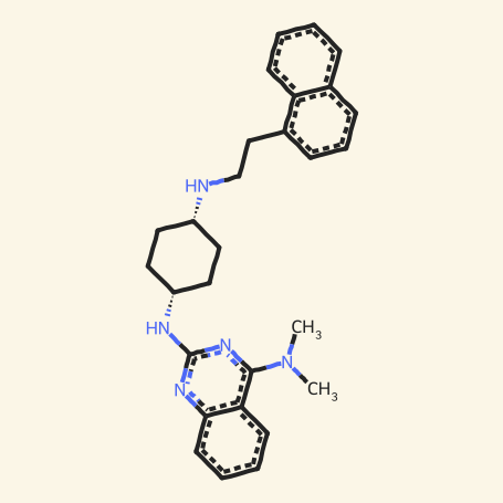 CN(C)c1nc(N[C@H]2CC[C@@H](NCCc3cccc4ccccc34)CC2)nc2ccccc12